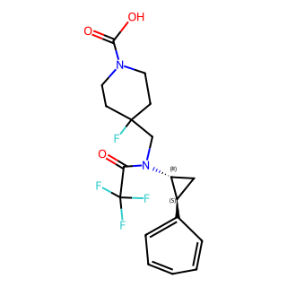 O=C(O)N1CCC(F)(CN(C(=O)C(F)(F)F)[C@@H]2C[C@H]2c2ccccc2)CC1